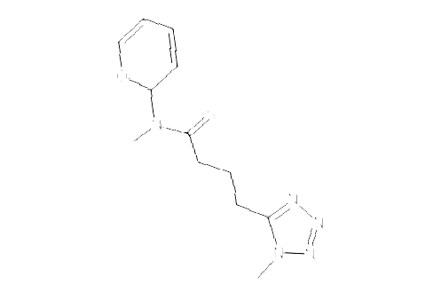 CN(C(=S)CCCc1nnnn1C)C1C=CC=CO1